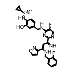 N=C(/C=C(\NCc1ccccc1F)c1ccon1)c1ncc(F)c(NCc2ccc(N[S+]([O-])C3CC3)c(O)c2)n1